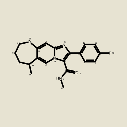 CNC(=O)c1c(-c2ccc(F)cc2)nc2cc3c(cn12)C(C)CCCO3